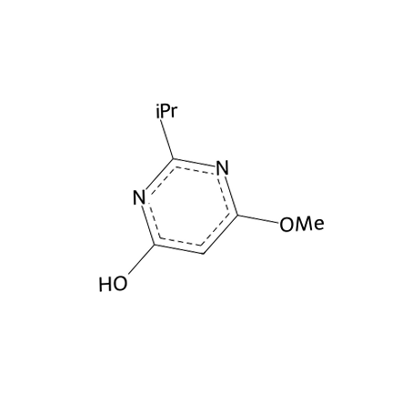 COc1cc(O)nc(C(C)C)n1